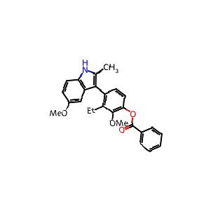 CCc1c(-c2c(C)[nH]c3ccc(OC)cc23)ccc(OC(=O)c2ccccc2)c1OC